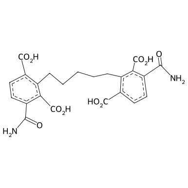 NC(=O)c1ccc(C(=O)O)c(CCCCCc2c(C(=O)O)ccc(C(N)=O)c2C(=O)O)c1C(=O)O